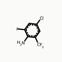 Nc1c(I)cc(Cl)cc1C(F)(F)F